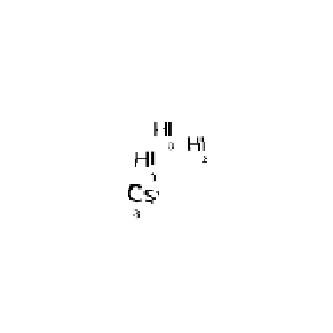 I.I.I.[Cs]